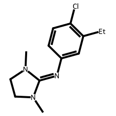 CCc1cc(N=C2N(C)CCN2C)ccc1Cl